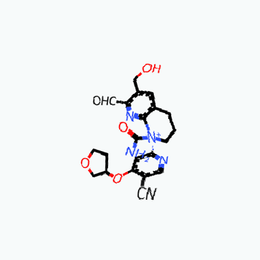 N#Cc1cnc([N@@+]2(C(N)=O)CCCc3cc(CO)c(C=O)nc32)cc1OC1CCOC1